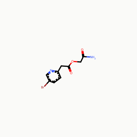 NC(=O)COC(=O)Cc1ccc(Br)cn1